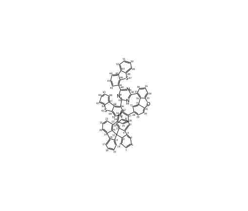 c1ccc2c(c1)-c1ccccc1C21c2ccccc2-c2cccc(-c3ccc(-c4ccc5oc6cccc(-c7nc(-c8cccc9c8sc8ccccc89)nc(-c8cccc9sc%10ccccc%10c89)n7)c6c5c4)cc3)c21